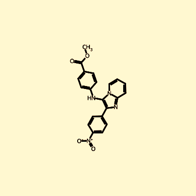 COC(=O)c1ccc(Nc2c(-c3ccc([N+](=O)[O-])cc3)nc3ccccn23)cc1